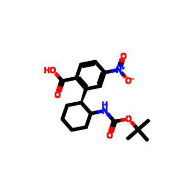 CC(C)(C)OC(=O)NC1CCCC[C@H]1c1cc([N+](=O)[O-])ccc1C(=O)O